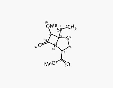 COC(=O)C1CSC2([Se]C)C(OC)C(=O)N12